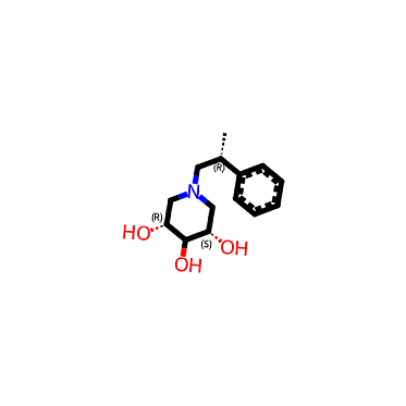 C[C@@H](CN1C[C@@H](O)C(O)[C@@H](O)C1)c1ccccc1